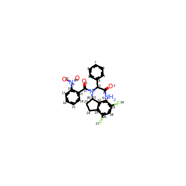 NC(=O)C(c1ccccc1)N(C(=O)c1ccccc1[N+](=O)[O-])[C@@H]1CCc2c(F)cc(F)cc21